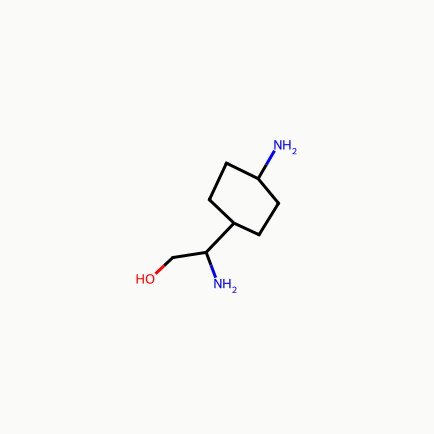 NC1CCC(C(N)CO)CC1